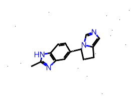 Cc1nc2cc(C3CCc4cncn43)ccc2[nH]1